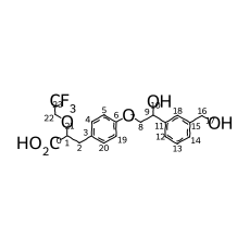 O=C(O)C(Cc1ccc(OCC(O)c2cccc(CO)c2)cc1)OCC(F)(F)F